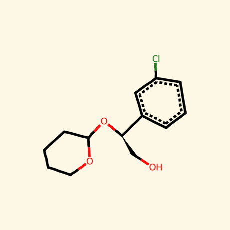 OC[C@@H](OC1CCCCO1)c1cccc(Cl)c1